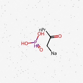 CCCC(=O)[CH2][Na].O=[PH](O)O